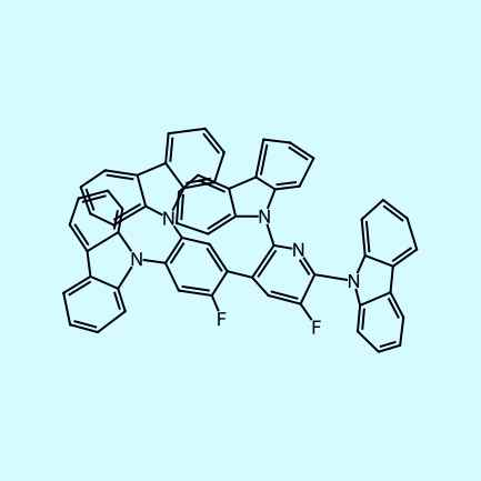 Fc1cc(-n2c3ccccc3c3ccccc32)c(-n2c3ccccc3c3ccccc32)cc1-c1cc(F)c(-n2c3ccccc3c3ccccc32)nc1-n1c2ccccc2c2ccccc21